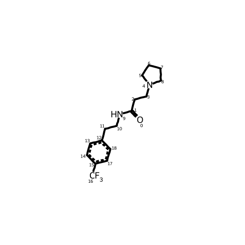 O=C(CCN1CCCC1)NCCc1ccc(C(F)(F)F)cc1